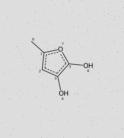 Cc1cc(O)c(O)o1